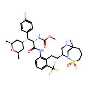 COC(=O)N[C@H](C(=O)Nc1cccc(C(F)(F)F)c1CC[C@H]1CN[C@@H]2CCCS(=O)(=O)N1C2)[C@@H](c1ccc(F)cc1)C1C[C@@H](C)O[C@@H](C)C1